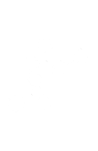 c1ccc(-n2c3ccccc3c3cc4c(ccc5c6ccccc6n(-c6cccc(-c7cccnc7)c6)c45)cc32)cc1